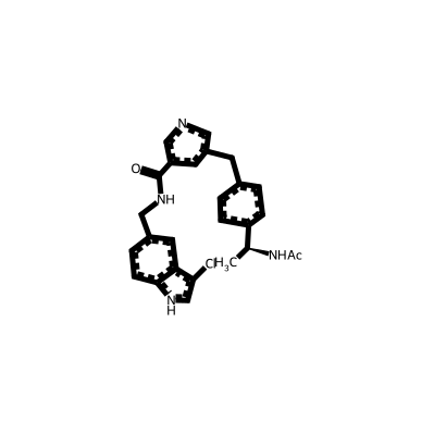 CC(=O)N[C@@H](C)c1ccc(Cc2cncc(C(=O)NCc3ccc4[nH]cc(Cl)c4c3)c2)cc1